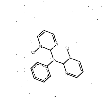 ClN1C=CC=NC1P(c1ccccc1)C1N=CC=CN1Cl